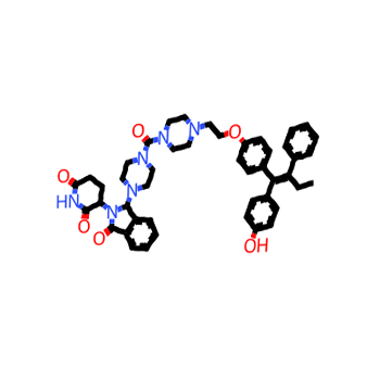 CCC(=C(c1ccc(O)cc1)c1ccc(OCCN2CCN(C(=O)N3CCN(C4c5ccccc5C(=O)N4C4CCC(=O)NC4=O)CC3)CC2)cc1)c1ccccc1